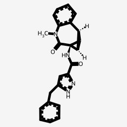 CN1C(=O)[C@]2(NC(=O)c3cc(Cc4ccccc4)[nH]n3)C3[C@@H](c4ccccc41)[C@H]32